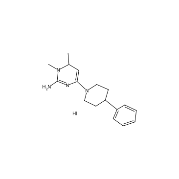 CC1C=C(N2CCC(c3ccccc3)CC2)N=C(N)N1C.I